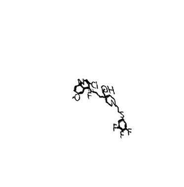 COc1ccc2ncc(Cl)c([C@@H](F)CCC3(CO)CCN(CCSc4cc(F)c(F)c(F)c4)CC3)c2c1